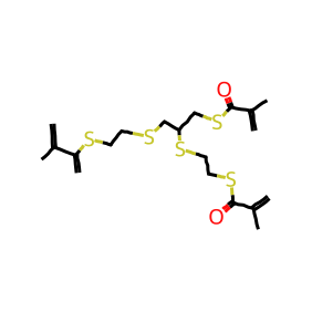 C=C(C)C(=C)SCCSCC(CSC(=O)C(=C)C)SCCSC(=O)C(=C)C